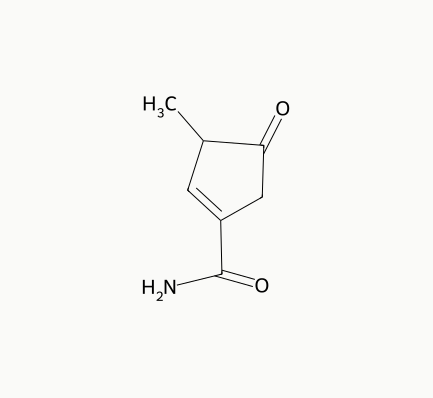 CC1C=C(C(N)=O)CC1=O